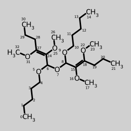 CCCCCOC(OC(OCCCCC)C(OC)=C(CCC)OC)C(OC)=C(CCC)OC